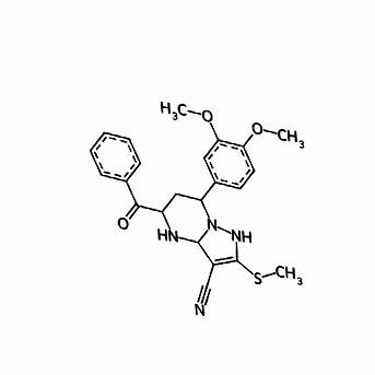 COc1ccc(C2CC(C(=O)c3ccccc3)NC3C(C#N)=C(SC)NN32)cc1OC